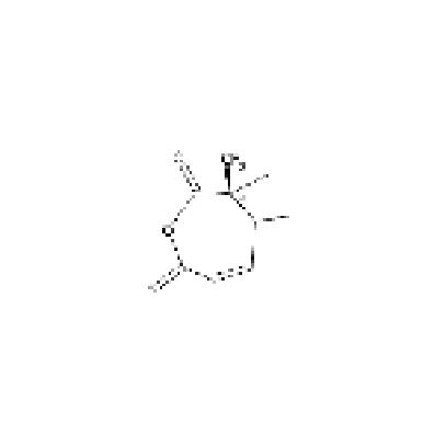 C=C1C=CC(C)[C@](C)(C(F)(F)F)C(=O)O1